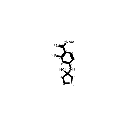 CNC(=O)c1ccc(NC2(C#N)CCOC2)cc1F